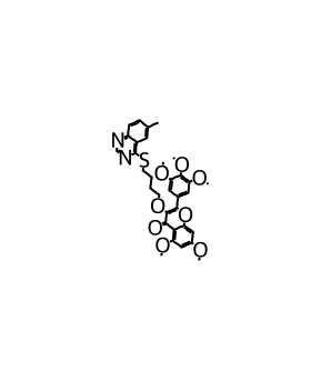 COc1cc(OC)c2c(=O)c(OCCCCSc3ncnc4ccc(C)cc34)c(-c3cc(OC)c(OC)c(OC)c3)oc2c1